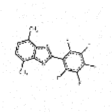 Cc1ccc(C)c2sc(-c3c(F)c(F)c(F)c(F)c3F)nc12